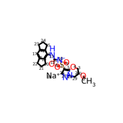 CO[C@H]1COc2c(S(=O)(=O)[N-]C(=O)Nc3c4c(cc5c3CCC5)CCC4)cnn2C1.[Na+]